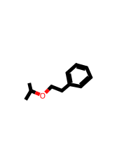 CC(C)OCCc1c[c]ccc1